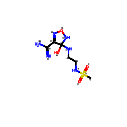 CS(=O)(=O)NCCNC1(O)NON=C1C(=N)N